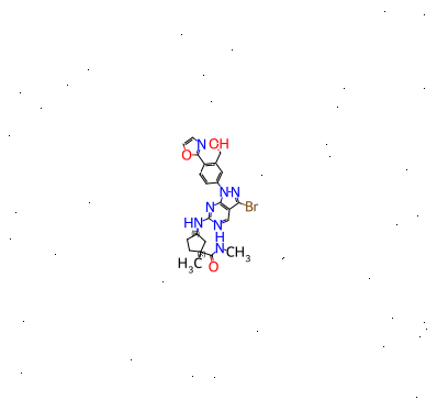 CNC(=O)[C@]1(C)CC[C@@H](Nc2ncc3c(Br)nn(-c4ccc(-c5ncco5)c(CO)c4)c3n2)C1